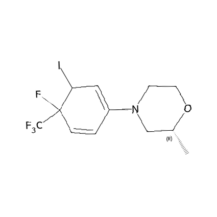 C[C@@H]1CN(C2=CC(I)C(F)(C(F)(F)F)C=C2)CCO1